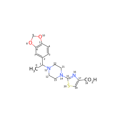 CC(c1ccc2c(c1)OCO2)N1CCN(c2nc(C(=O)O)cs2)CC1